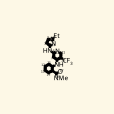 CCn1ccc(Nc2cc(Nc3ccccc3C(=O)NC)c(C(F)(F)F)cn2)n1